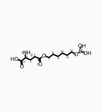 NC(CCC(=O)OCCCCCCON(O)O)C(=O)O